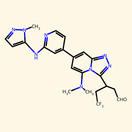 CN(C)c1cc(-c2ccnc(Nc3ccnn3C)c2)cc2nnc(C(CC=O)CC(F)(F)F)n12